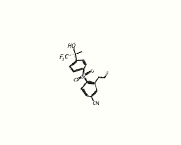 C[C@](O)(c1ccc(S(=O)(=O)c2ccc(C#N)cc2CCF)cc1)C(F)(F)F